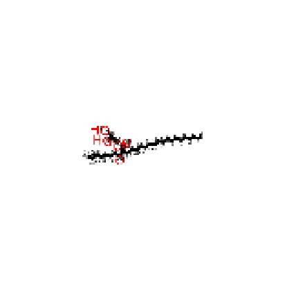 CCCCCCCCCCCCCCCCCCC(C(=O)CCCCCCC)C(=O)OCC(O)CO